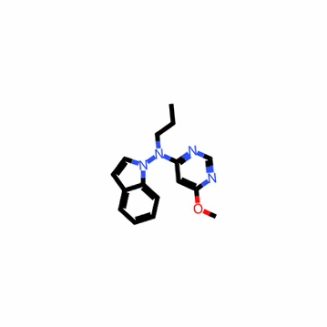 CCCN(c1cc(OC)ncn1)n1ccc2ccccc21